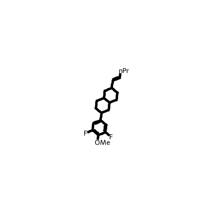 CCCC=CC1CCC2CC(c3cc(F)c(OC)c(F)c3)CCC2C1